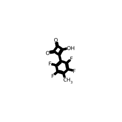 Cc1c(F)c(F)c(-c2c(O)c(=O)c2=O)c(F)c1F